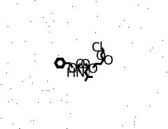 CC(C)[C@H](NC(=O)OCc1ccccc1)C(=O)OCCC(=O)OCCl